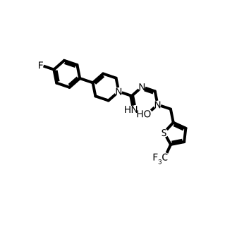 N=C(/N=C\N(O)Cc1ccc(C(F)(F)F)s1)N1CC=C(c2ccc(F)cc2)CC1